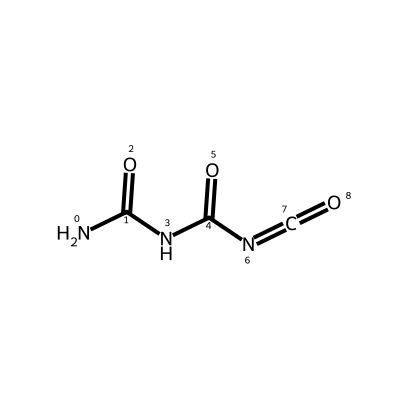 NC(=O)NC(=O)N=C=O